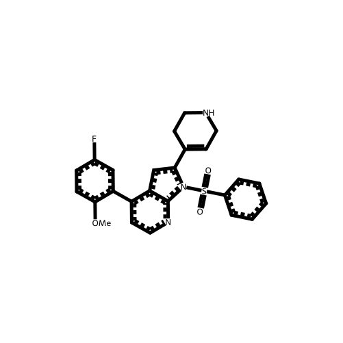 COc1ccc(F)cc1-c1ccnc2c1cc(C1=CCNCC1)n2S(=O)(=O)c1ccccc1